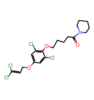 O=C(CCCCOc1c(Cl)cc(OCC=C(Cl)Cl)cc1Cl)N1CCCCC1